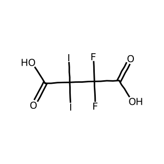 O=C(O)C(F)(F)C(I)(I)C(=O)O